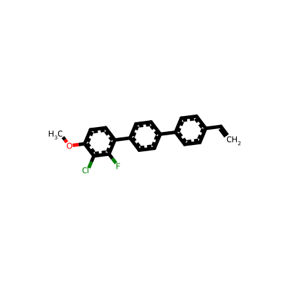 C=Cc1ccc(-c2ccc(-c3ccc(OC)c(Cl)c3F)cc2)cc1